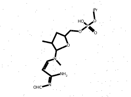 CC(C)OP(=O)(O)OCC1CC(C)C(N(C)/C=C\C(N)=N/C=O)O1